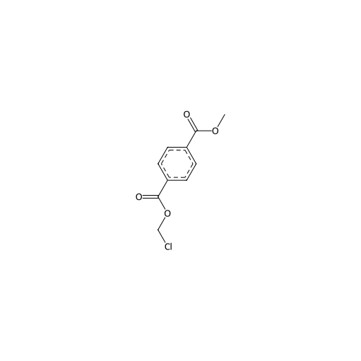 COC(=O)c1ccc(C(=O)OCCl)cc1